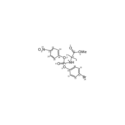 COC(=O)C(C)(C)NP(=O)(Oc1ccc(Br)cc1)Oc1ccc([N+](=O)[O-])cc1